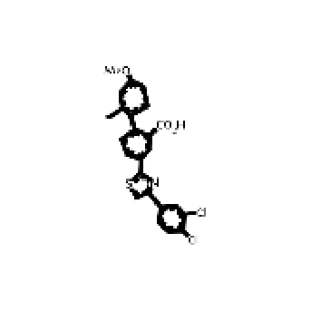 COc1ccc(-c2ccc(-c3nc(-c4ccc(Cl)c(Cl)c4)cs3)cc2C(=O)O)c(C)c1